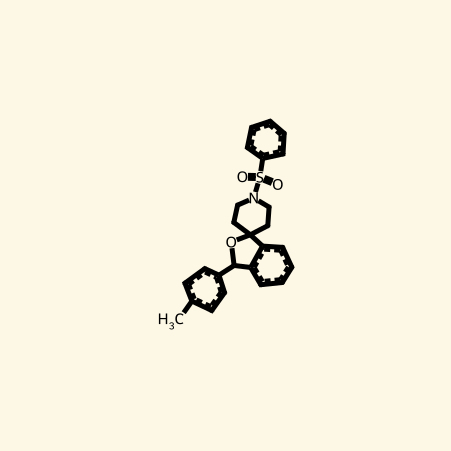 Cc1ccc(C2OC3(CCN(S(=O)(=O)c4ccccc4)CC3)c3ccccc32)cc1